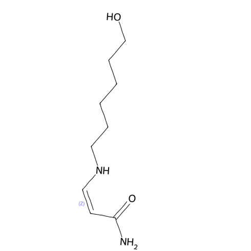 NC(=O)/C=C\NCCCCCCO